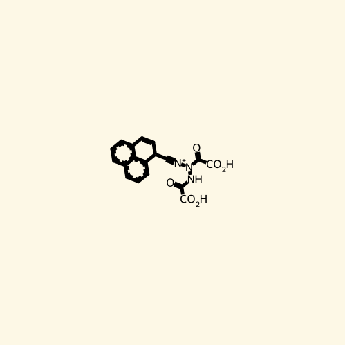 O=C(O)C(=O)NN([N+]#CC1C=Cc2cccc3cccc1c23)C(=O)C(=O)O